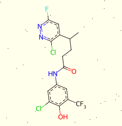 CC(CCC(=O)Nc1cc(Cl)c(O)c(C(F)(F)F)c1)c1cc(F)nnc1Cl